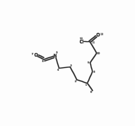 CC(CCCN=C=O)CCCC(=O)Cl